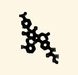 CONC(=O)Nc1ccc(-c2sc3c(c2CN(C)C)c(=O)n(-c2ccc(N(C)C)nn2)c(=O)n3Cc2c(F)cccc2F)cc1